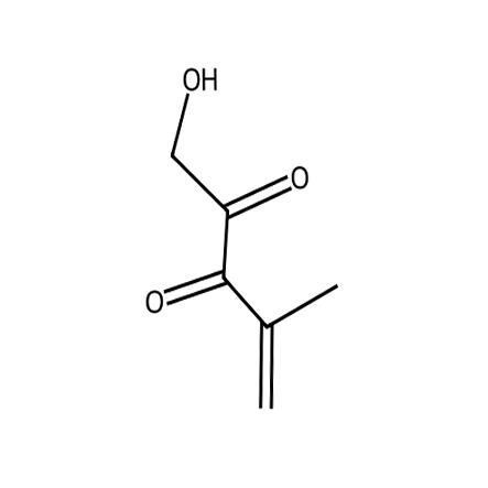 C=C(C)C(=O)C(=O)CO